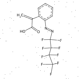 C=C(C(=O)O)c1ccccc1N=NC(F)(F)C(F)(F)C(F)(F)C(F)(F)F